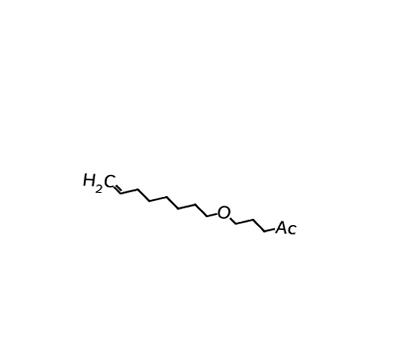 C=CCCCCCCOCCCC(C)=O